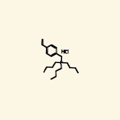 C=Cc1ccc(C[P](CCCC)(CCCC)CCCC)cc1.Cl